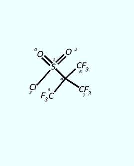 O=S(=O)(Cl)C(C(F)(F)F)(C(F)(F)F)C(F)(F)F